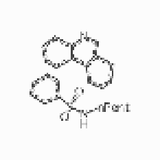 CCCCCNS(=O)(=O)c1ccccc1.c1ccc2c(c1)cnc1ccccc12